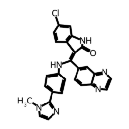 Cn1ccnc1-c1ccc(NC(=C2C(=O)Nc3cc(Cl)ccc32)c2ccc3nccnc3c2)cc1